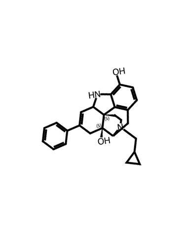 Oc1ccc2c3c1NC1C=C(c4ccccc4)C[C@@]4(O)C(C2)N(CC2CC2)CC[C@]314